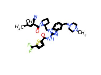 CC(C)C=C(C#N)C(=O)N1CCCC1Cn1c(NC(=O)c2ccc(C(F)F)s2)nc2cc(CN3CCN(C)CC3)ccc21